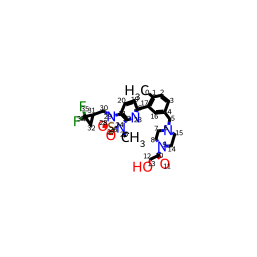 Cc1ccc(CN2CCN(C(=O)CO)CC2)cc1-c1ccc2c(n1)N(C)S(=O)(=O)N2CC1CC1(F)F